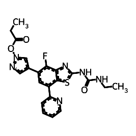 CCNC(=O)Nc1nc2c(F)c(-c3cnn(OC(=O)CC)c3)cc(-c3ccccn3)c2s1